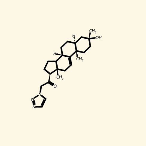 C[C@@]1(O)CC[C@]2(C)C3=CC[C@@]4(C)C(CC[C@@H]4C(=O)Cn4ccnn4)[C@@H]3CC[C@H]2C1